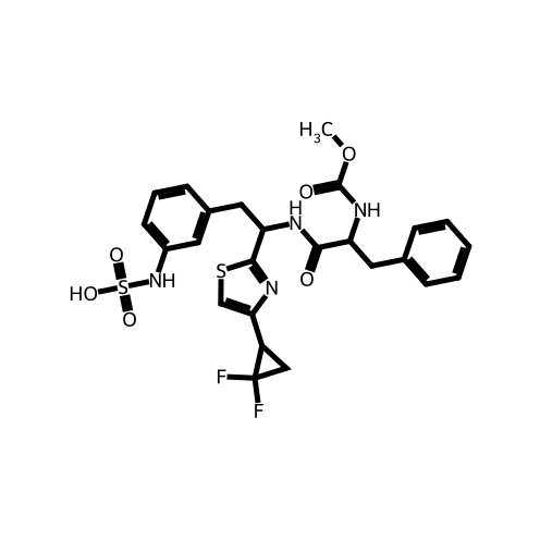 COC(=O)NC(Cc1ccccc1)C(=O)NC(Cc1cccc(NS(=O)(=O)O)c1)c1nc(C2CC2(F)F)cs1